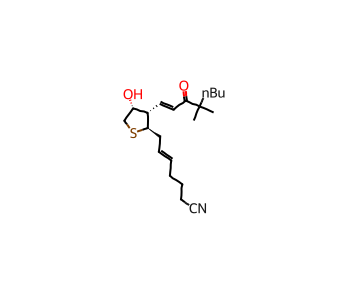 CCCCC(C)(C)C(=O)C=C[C@H]1[C@@H](O)CS[C@@H]1CC=CCCCC#N